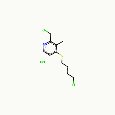 Cc1c(SCCCCCl)ccnc1CCl.Cl